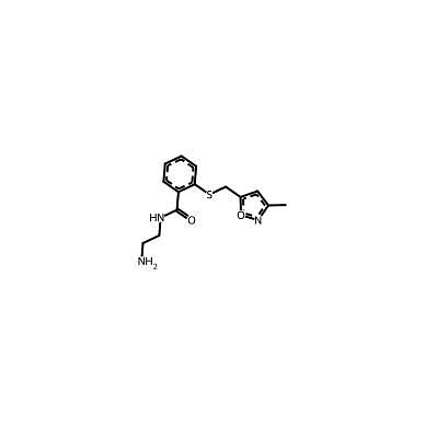 Cc1cc(CSc2ccccc2C(=O)NCCN)on1